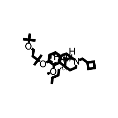 CCCC[C@]12CCN(CC3CCC3)[C@H](Cc3ccc(OC(C)(C)CCOC(C)(C)C)c(OC)c31)[C@@]2(C)O